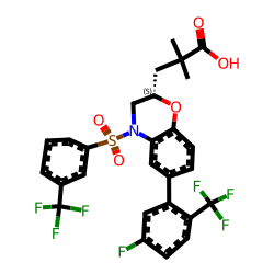 CC(C)(C[C@H]1CN(S(=O)(=O)c2cccc(C(F)(F)F)c2)c2cc(-c3cc(F)ccc3C(F)(F)F)ccc2O1)C(=O)O